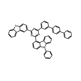 c1ccc(-c2ccc(-c3cccc(-c4nc(-c5ccc6sc7ccccc7c6c5)nc(-c5cccc6c5c5ccccc5n6-c5ccccc5)n4)c3)cc2)cc1